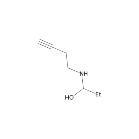 C#CCCNC(O)CC